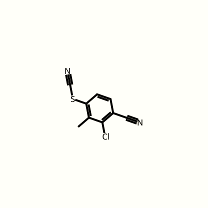 Cc1c(SC#N)ccc(C#N)c1Cl